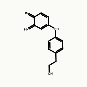 N=C1C=CC(Nc2ccc(CCO)cc2)=CC1=N